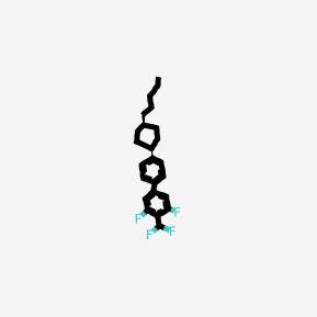 CCCCC[C@H]1CC[C@H](c2ccc(-c3cc(F)c(C(F)F)c(F)c3)cc2)CC1